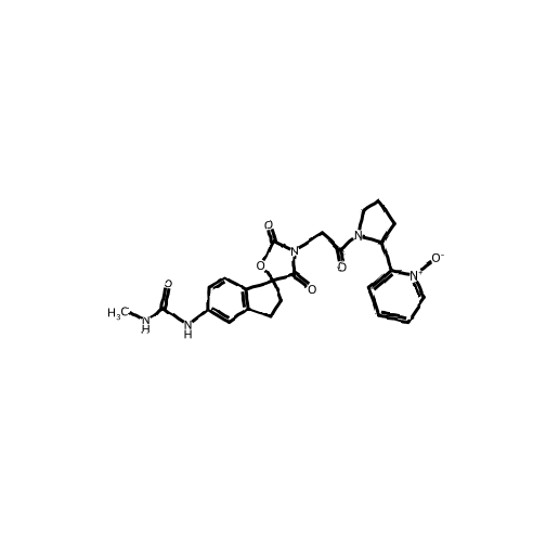 CNC(=O)Nc1ccc2c(c1)CCC21OC(=O)N(CC(=O)N2CCCC2c2cccc[n+]2[O-])C1=O